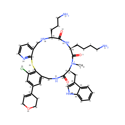 CN1C(=O)[C@H](CCCCN)NC(=O)[C@H](CCCN)NCc2cccnc2Sc2c(Cl)cc(C3=CCOCC3)cc2CNC(=O)[C@@H]1Cc1c[nH]c2ccccc12